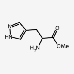 COC(=O)C(N)Cc1cn[nH]c1